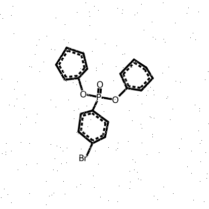 O=P(Oc1ccccc1)(Oc1ccccc1)c1ccc(Br)cc1